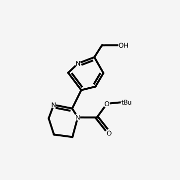 CC(C)(C)OC(=O)N1CCCN=C1c1ccc(CO)nc1